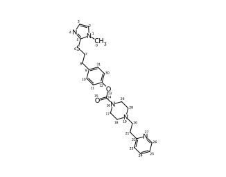 Cn1ccnc1SCCc1ccc(OC(=O)N2CCN(CCc3ccccn3)CC2)cc1